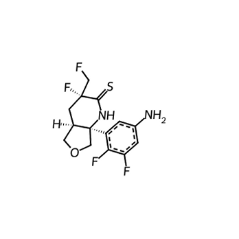 Nc1cc(F)c(F)c([C@]23COC[C@H]2C[C@@](F)(CF)C(=S)N3)c1